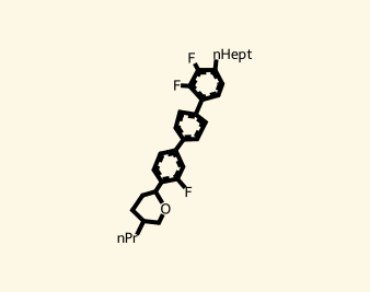 CCCCCCCc1ccc(-c2ccc(-c3ccc(C4CCC(CCC)CO4)c(F)c3)cc2)c(F)c1F